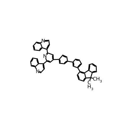 CC1(C)c2ccccc2-c2c(-c3cccc(-c4ccc(-c5cc(-c6ccnc7ccccc67)nc(-c6ccnc7ccccc67)c5)cc4)c3)cccc21